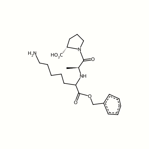 C[C@H](NC(CCCCCN)C(=O)OCc1ccccc1)C(=O)N1CCC[C@H]1C(=O)O